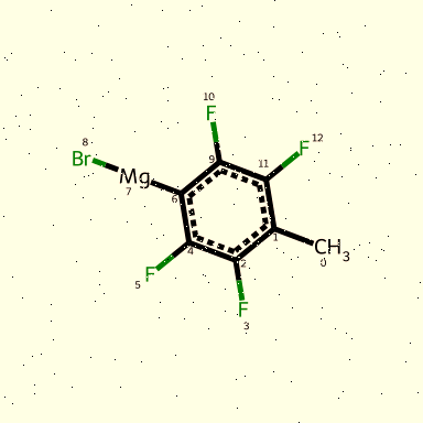 Cc1c(F)c(F)[c]([Mg][Br])c(F)c1F